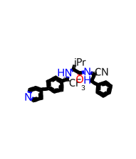 CC(C)C(N[C@@H](c1ccc(-c2ccncc2)cc1)C(F)(F)F)C(=O)N[C@H](C#N)Cc1ccccc1